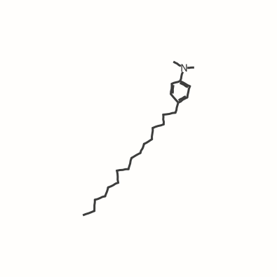 CCCCCCCCCCCCCCCCc1ccc(N(C)C)cc1